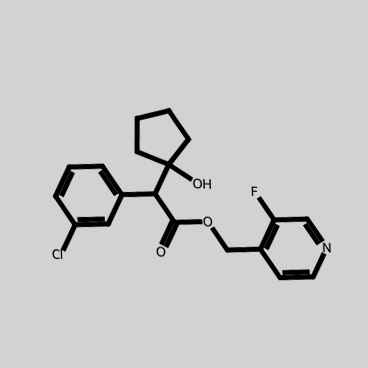 O=C(OCc1ccncc1F)C(c1cccc(Cl)c1)C1(O)CCCC1